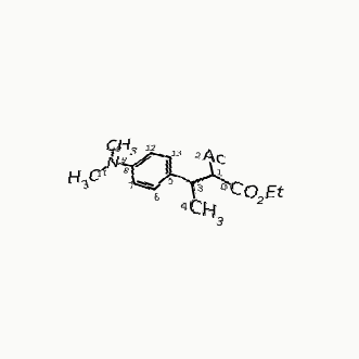 CCOC(=O)C(C(C)=O)C(C)c1ccc(N(C)C)cc1